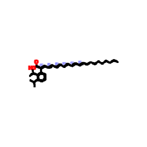 CCCCCCCCC/C=C/C=C/C=C/C=C/C=C/C=C(/C(=O)O)c1cccc(C(C)C)c1C(C)C